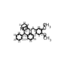 COc1ccc(CNC2C3CCN(CC3)C2C(c2ccccc2)c2ccccc2)cc1OC